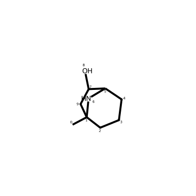 CC12CCCC(N1)C(O)C2